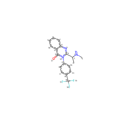 CNC(C)c1nc2ccccc2c(=O)n1-c1ccc(C(F)(F)F)cc1